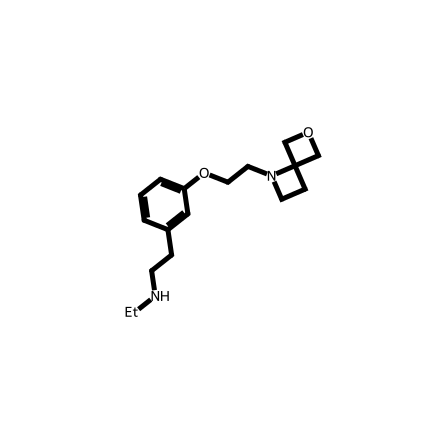 CCNCCc1cccc(OCCN2CCC23COC3)c1